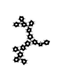 c1ccc(-c2ccc(-c3ccc(N(c4ccc(-c5ccc(N(c6ccccc6)c6ccc7c(c6)c6ccccc6n7-c6ccccc6)cc5)cc4)c4ccc(-c5ccc(N(c6ccccc6)c6ccc7c(c6)c6ccccc6n7-c6ccccc6)cc5)cc4)cc3)s2)cc1